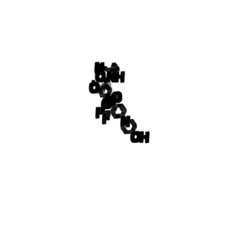 CO[C@H]1C[C@@H](S(=O)(=O)c2ccc(N3CCC(O)CC3)cc2C(F)(F)F)C[C@@H]1C(=O)NC1(C#N)CC1